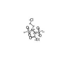 CCC(=O)N(N(CCCl)S(C)(=O)=O)S(C)(=O)=O